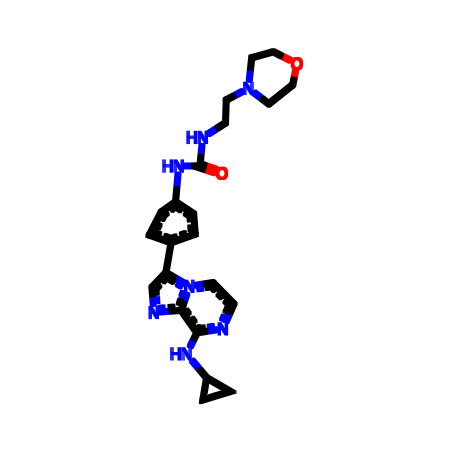 O=C(NCCN1CCOCC1)Nc1ccc(-c2cnc3c(NC4CC4)nccn23)cc1